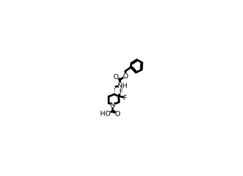 O=C(NC[C@H]1CCN(C(=O)O)CC1(F)F)OCc1ccccc1